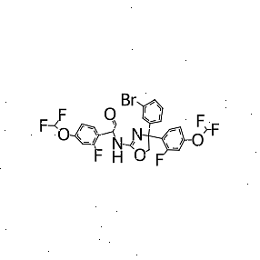 O=CC(NC1=NC(c2cccc(Br)c2)(c2ccc(OC(F)F)cc2F)CO1)c1ccc(OC(F)F)cc1F